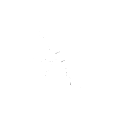 CCCCCCCCCCCCCCCC(=O)C(C(=O)CCCCCCCCCCCCCCC)N(CCO)CCC(=O)O